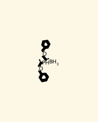 B.C[C@H](COCc1ccccc1)P[C@H](C)COCc1ccccc1